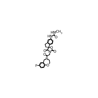 CNC(=O)Nc1ccc2c(c1)CC[C@]21OC(=O)N(CC(=O)N2CCOc3ccc(F)cc3C2)C1=O